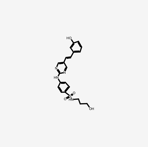 O=S(=O)(NCCCO)c1ccc(Nc2ncc(C=Cc3cccc(O)c3)cn2)cc1